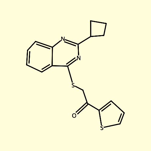 O=C(CSc1nc(C2CCC2)nc2ccccc12)c1cccs1